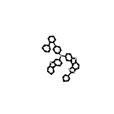 c1ccc(-c2nc3c(ccc4oc5ccc(N(c6ccc(-c7ccccc7-c7ccccc7)cc6)c6ccc7c(c6)oc6ccccc67)cc5c43)s2)cc1